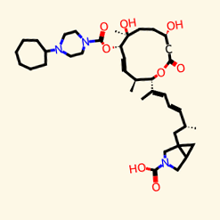 C/C(=C\C=C\[C@H](C)CC12CC1CN(C(=O)O)C2)[C@H]1OC(=O)C[C@@H](O)CC[C@](C)(O)[C@@H](OC(=O)N2CCN(C3CCCCCC3)CC2)/C=C/[C@@H]1C